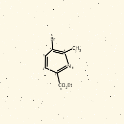 CCOC(=O)c1ccc(Br)c(C)n1